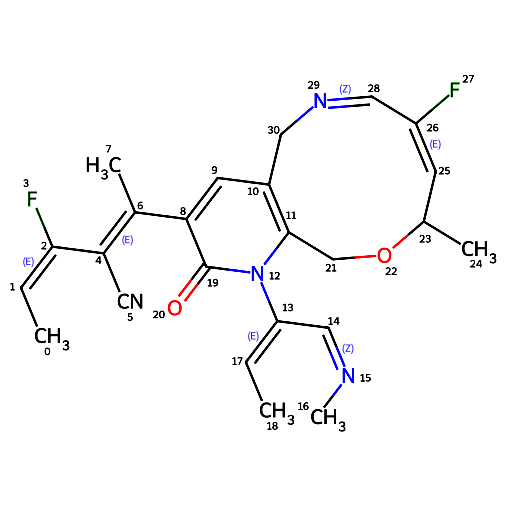 C/C=C(F)\C(C#N)=C(/C)c1cc2c(n(C(/C=N\C)=C/C)c1=O)COC(C)/C=C(F)\C=N/C2